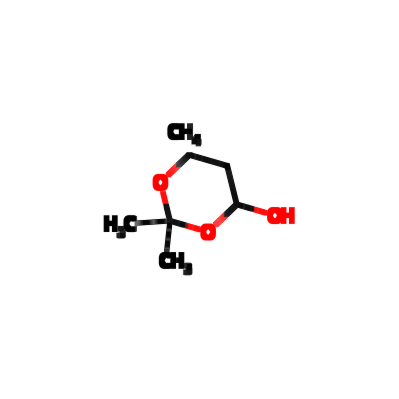 C.CC1(C)OCCC(O)O1